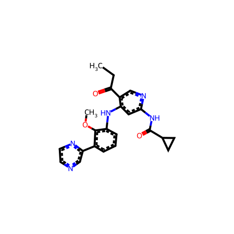 CCC(=O)c1cnc(NC(=O)C2CC2)cc1Nc1cccc(-c2cnccn2)c1OC